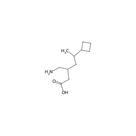 CC(CC(CN)CC(=O)O)C1CCC1